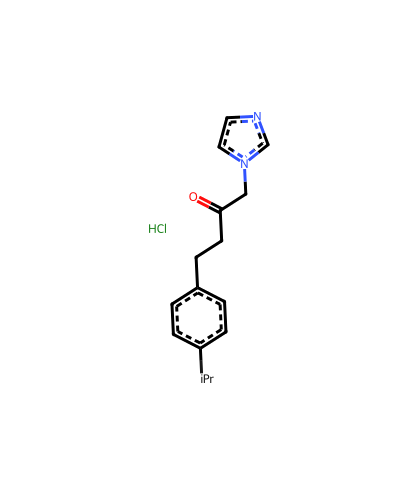 CC(C)c1ccc(CCC(=O)Cn2ccnc2)cc1.Cl